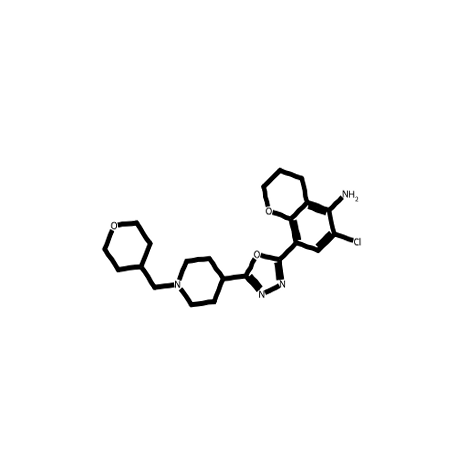 Nc1c(Cl)cc(-c2nnc(C3CCN(CC4CCOCC4)CC3)o2)c2c1CCCO2